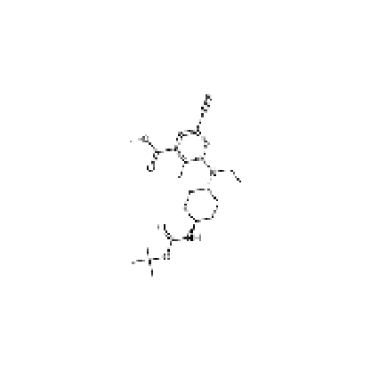 CCN(c1cc(C#N)cc(C(=O)OC)c1C)[C@H]1CC[C@H](NC(=O)OC(C)(C)C)CC1